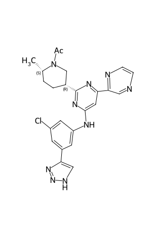 CC(=O)N1C[C@H](c2nc(Nc3cc(Cl)cc(-c4c[nH]nn4)c3)cc(-c3cnccn3)n2)CC[C@@H]1C